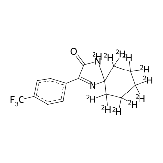 [2H]N1C(=O)C(c2ccc(C(F)(F)F)cc2)=NC12C([2H])([2H])C([2H])([2H])C([2H])([2H])C([2H])([2H])C2([2H])[2H]